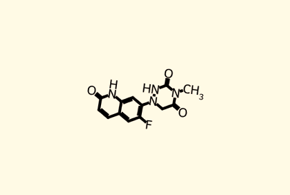 CN1C(=O)CN(c2cc3[nH]c(=O)ccc3cc2F)NC1=O